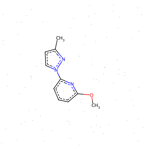 COc1cccc(-n2ccc(C)n2)n1